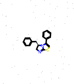 C1=C(c2ccccc2)N2C(=NC[C@H]2Cc2ccccc2)S1